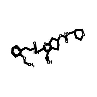 C#Cc1c(NC(=O)CCc2ccccc2OCC)sc2c1CCC(OC(=O)NC1CCOCC1)C2